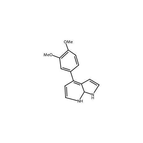 COc1ccc(C2=C3C=CNC3NC=C2)cc1OC